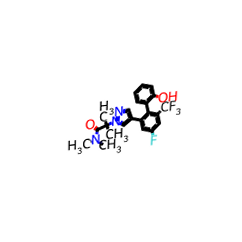 CN(C)C(=O)C(C)(C)n1cc(-c2cc(F)cc(C(F)(F)F)c2-c2ccccc2O)cn1